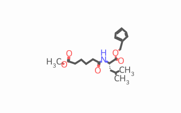 COC(=O)CCCCC(=O)N[C@@H](CC(C)C)C(=O)OCc1ccccc1